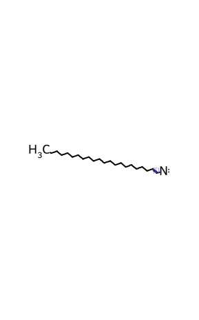 CCCCCCCCCCCCCCCCCCCC/C=C/[N]